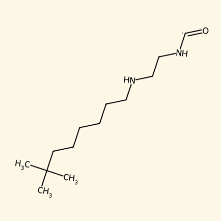 CC(C)(C)CCCCCCNCCN[C]=O